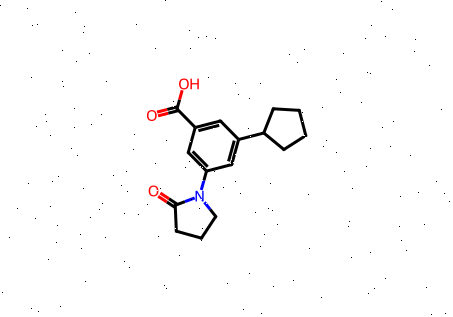 O=C(O)c1cc(C2CCCC2)cc(N2CCCC2=O)c1